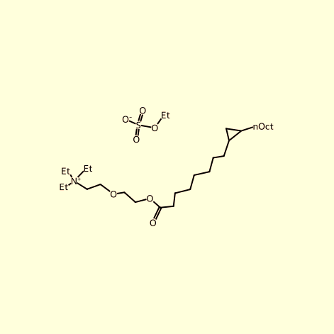 CCCCCCCCC1CC1CCCCCCCC(=O)OCCOCC[N+](CC)(CC)CC.CCOS(=O)(=O)[O-]